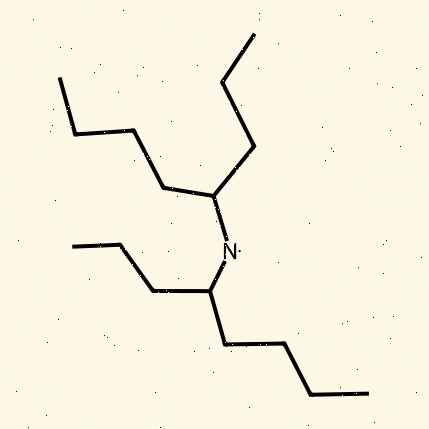 CCCCC(CCC)[N]C(CCC)CCCC